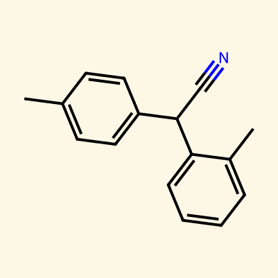 Cc1ccc(C(C#N)c2ccccc2C)cc1